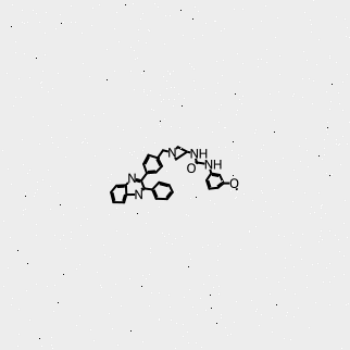 COc1cccc(NC(=O)NC2CN(Cc3ccc(-c4nc5ccccc5nc4-c4ccccc4)cc3)C2)c1